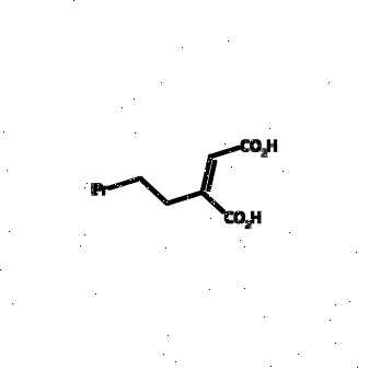 CC(C)CCC(=CC(=O)O)C(=O)O